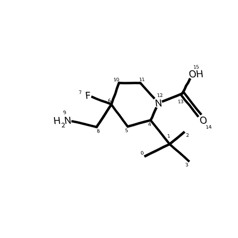 CC(C)(C)C1CC(F)(CN)CCN1C(=O)O